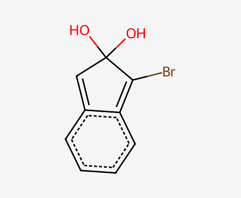 OC1(O)C=c2ccccc2=C1Br